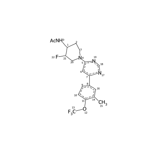 CC(=O)NC1CCN(c2cc(-c3ccc(OC(F)(F)F)c(C)c3)ncn2)CC1F